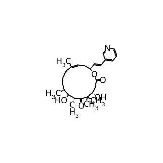 C/C1=C/C[C@@H](C=Cc2cccnc2)OC(=O)C[C@H](O)C(C)(C)C(=O)[C@H](C)[C@@H](O)[C@@H](C)CCC1